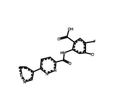 O=C(Nc1cc(Cl)c(F)cc1C(=O)O)c1ccc(-c2ccnnc2)nn1